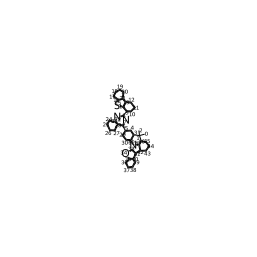 CC1(C)c2cc(-c3nc(-c4cccc5c4sc4ccccc45)nc4ccccc34)ccc2-n2c3oc4ccccc4c3c3cccc1c32